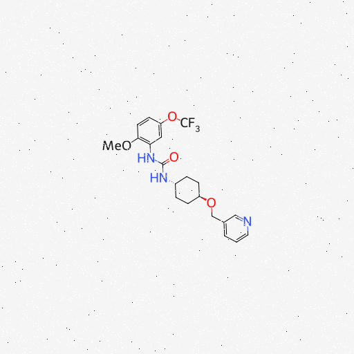 COc1ccc(OC(F)(F)F)cc1NC(=O)N[C@H]1CC[C@H](OCc2cccnc2)CC1